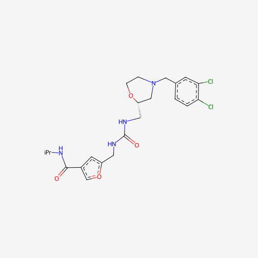 CC(C)NC(=O)c1coc(CNC(=O)NC[C@H]2CN(Cc3ccc(Cl)c(Cl)c3)CCO2)c1